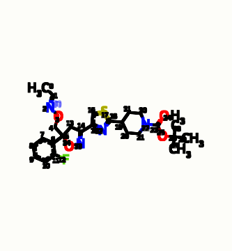 C/C=N/OCC1(c2ccccc2F)CC(c2csc(C3CCN(C(=O)OC(C)(C)C)CC3)n2)=NO1